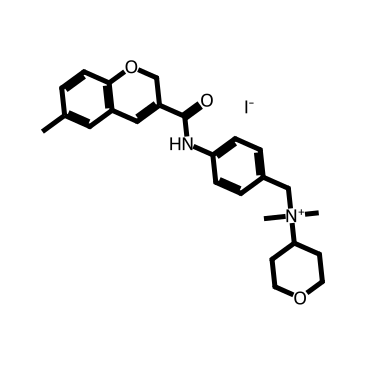 Cc1ccc2c(c1)C=C(C(=O)Nc1ccc(C[N+](C)(C)C3CCOCC3)cc1)CO2.[I-]